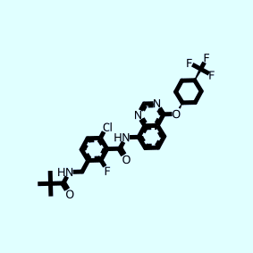 CC(C)(C)C(=O)NCc1ccc(Cl)c(C(=O)Nc2cccc3c(O[C@H]4CC[C@H](C(F)(F)F)CC4)ncnc23)c1F